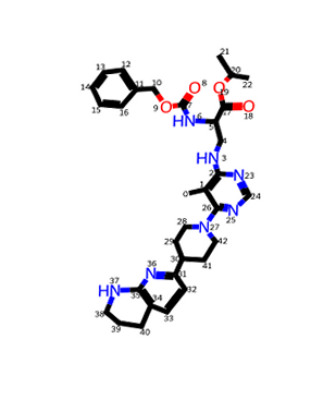 Cc1c(NCC(NC(=O)OCc2ccccc2)C(=O)OC(C)C)ncnc1N1CCC(c2ccc3c(n2)NCCC3)CC1